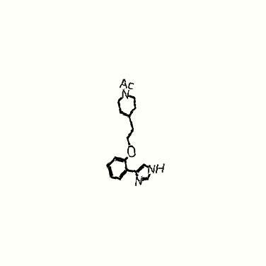 CC(=O)N1CCC(CCOc2ccccc2-c2c[nH]cn2)CC1